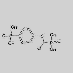 O=P(O)(O)c1ccc(SC(Cl)P(=O)(O)O)cc1